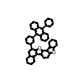 c1ccc(-c2c3ccccc3c(-c3cccc(-c4cc5ccccc5c5c4oc4c5ccc5oc6ccccc6c54)c3)c3ccccc23)cc1